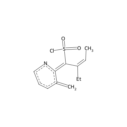 C=c1cccn/c1=C(/C(=C\C)CC)S(=O)(=O)Cl